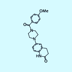 COc1ccc(C(=O)N2CCN(c3ccc4c(c3)CCC(=O)N4)CC2)cc1